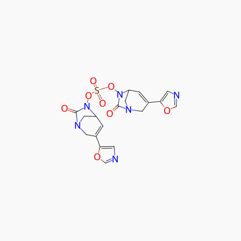 O=C1N2CC(c3cnco3)=CC(C2)N1OS(=O)(=O)ON1C(=O)N2CC(c3cnco3)=CC1C2